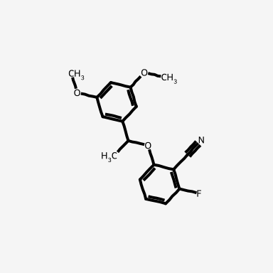 COc1cc(OC)cc(C(C)Oc2cccc(F)c2C#N)c1